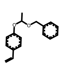 C=Cc1ccc(OC(C)OCc2ccccc2)cc1